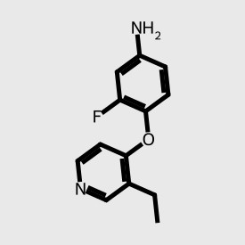 CCc1cnccc1Oc1ccc(N)cc1F